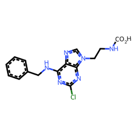 O=C(O)NCCn1cnc2c(NCc3ccccc3)nc(Cl)nc21